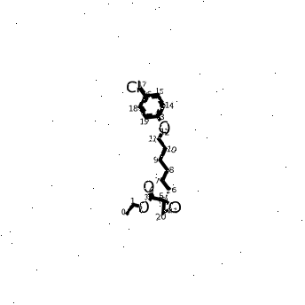 CCOC(=O)[C@]1(CCCCCCOc2ccc(Cl)cc2)CO1